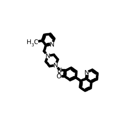 Cc1cccnc1CN1CCN(n2oc3cc(-c4cccc5cccnc45)ccc32)CC1